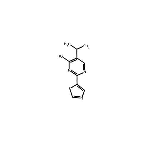 CC(C)c1cnc(-c2cncs2)nc1O